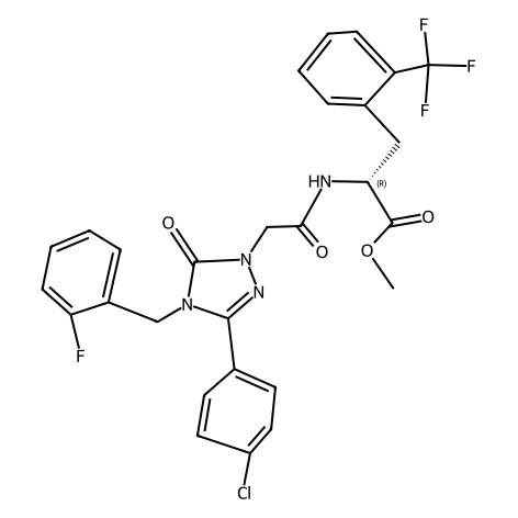 COC(=O)[C@@H](Cc1ccccc1C(F)(F)F)NC(=O)Cn1nc(-c2ccc(Cl)cc2)n(Cc2ccccc2F)c1=O